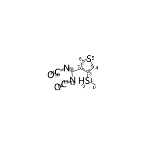 C[SH](C)c1cscc1C(N=C=O)N=C=O